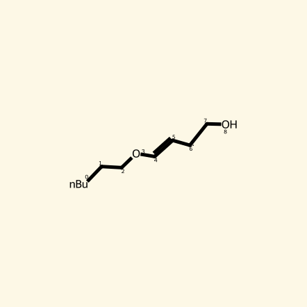 CCCCCCOC=C[CH]CO